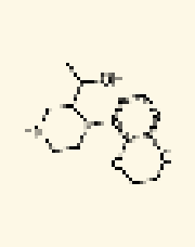 CC(O)C1CNCCN1c1cccc2c1OCCO2